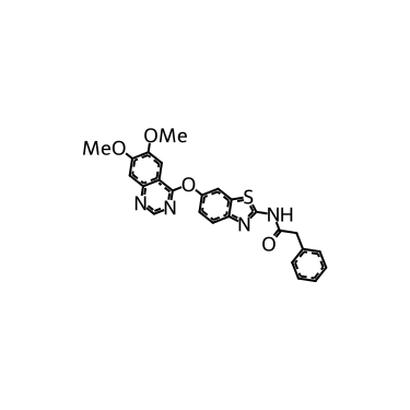 COc1cc2ncnc(Oc3ccc4nc(NC(=O)Cc5ccccc5)sc4c3)c2cc1OC